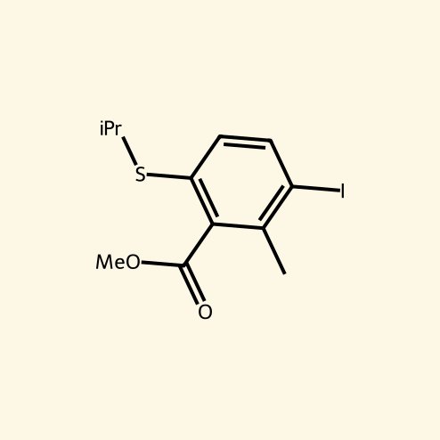 COC(=O)c1c(SC(C)C)ccc(I)c1C